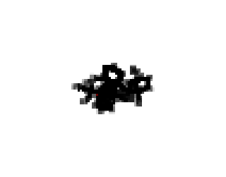 O=C(c1cccc(F)c1-c1ccccn1)N1[C@@H]2CC[C@H]1[C@H](Nc1ccc(C(F)(F)F)cn1)C2